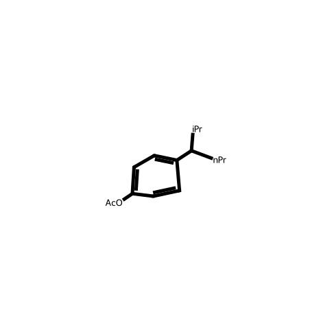 CCCC(c1ccc(OC(C)=O)cc1)C(C)C